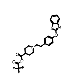 O=C(OC(=O)C(F)(F)F)C1CCN(CCc2ccc(Oc3nc4ccccc4s3)cc2)CC1